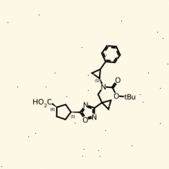 CC(C)(C)OC(=O)N(CC1(c2noc([C@H]3CC[C@@H](C(=O)O)C3)n2)CC1)[C@H]1CC1c1ccccc1